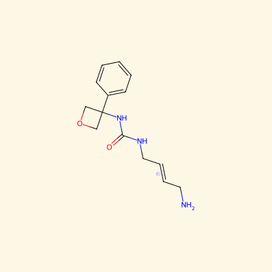 NC/C=C/CNC(=O)NC1(c2ccccc2)COC1